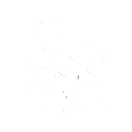 Cc1nc(C)c([C@@H](c2ccccc2C#N)[C@@H](C)c2nc(C(=O)Nc3cnoc3)c(O)c(=O)n2C)nc1C